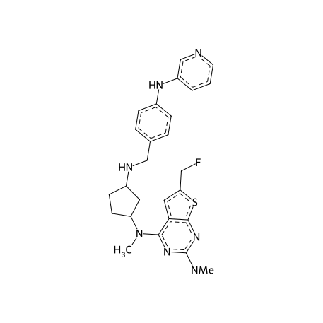 CNc1nc(N(C)C2CCC(NCc3ccc(Nc4cccnc4)cc3)C2)c2cc(CF)sc2n1